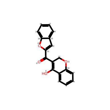 O=C(C1=C(O)c2ccccc2OC1)c1cc2ccccc2o1